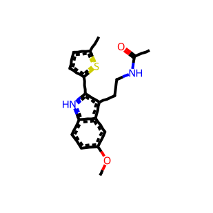 COc1ccc2[nH]c(-c3ccc(C)s3)c(CCNC(C)=O)c2c1